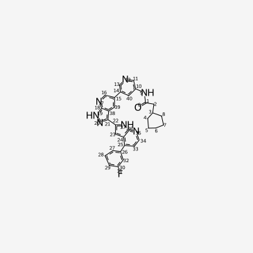 O=C(CC1CCCCC1)Nc1cncc(-c2cnc3[nH]nc(-c4cc5c(-c6cccc(F)c6)ccnc5[nH]4)c3c2)c1